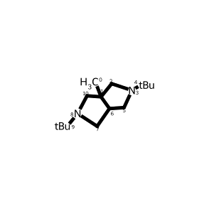 CC12CN(C(C)(C)C)CC1CN(C(C)(C)C)C2